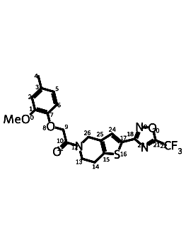 COc1cc(C)ccc1OCC(=O)N1CCc2sc(-c3noc(C(F)(F)F)n3)cc2C1